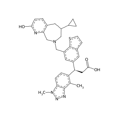 Cc1c([C@H](CC(=O)O)c2cc(CN3Cc4nc(O)ccc4CC(C4CC4)C3)c3sccc3c2)ccc2c1nnn2C